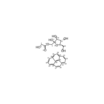 O=C(CO)OC[C@@]1(O)O[C@H](CO)[C@@H](O)[C@@H]1O.c1cc2ccc3cccc4ccc(c1)c2c34